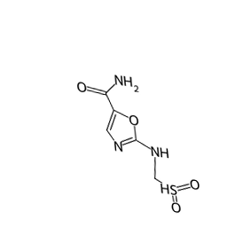 NC(=O)c1cnc(NC[SH](=O)=O)o1